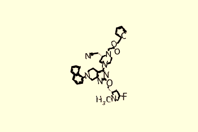 CN1C[C@H](F)C[C@H]1COc1nc2c(c(N3CCN(CC(=O)OCc4ccccc4)[C@@H](CC#N)C3)n1)CCN(c1cccc3ccccc13)C2